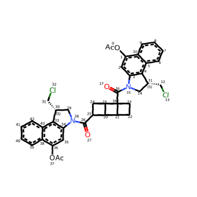 CC(=O)Oc1cc2c(c3ccccc13)[C@H](CCl)CN2C(=O)C12C3C4C1C1C2C3C41C(=O)N1C[C@@H](CCl)c2c1cc(OC(C)=O)c1ccccc21